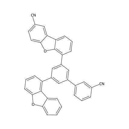 N#Cc1cccc(-c2cc(-c3cccc4c3oc3ccc(C#N)cc34)cc(-c3cccc4oc5ccccc5c34)c2)c1